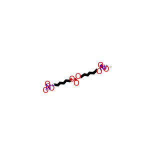 O=C(OCCCCCCO[N+](=O)[O-])OCCCCCCO[N+](=O)[O-]